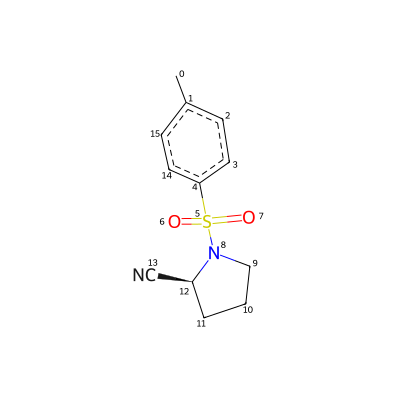 Cc1ccc(S(=O)(=O)N2CCC[C@H]2C#N)cc1